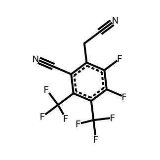 N#CCc1c(F)c(F)c(C(F)(F)F)c(C(F)(F)F)c1C#N